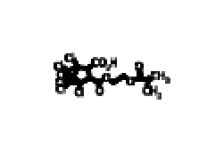 C=C(C)C(=O)OCCOC(=O)C1C(C(=O)O)C2(Cl)C(Cl)=C(Cl)C1(Cl)C2(Cl)Cl